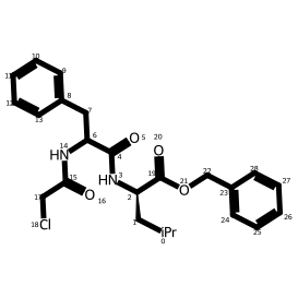 CC(C)C[C@@H](NC(=O)C(Cc1ccccc1)NC(=O)CCl)C(=O)OCc1ccccc1